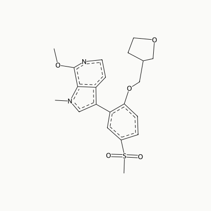 COc1nccc2c(-c3cc(S(C)(=O)=O)ccc3OCC3CCOC3)cn(C)c12